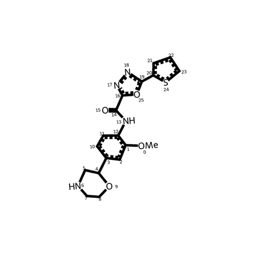 COc1cc(C2CNCCO2)ccc1NC(=O)c1nnc(-c2cccs2)o1